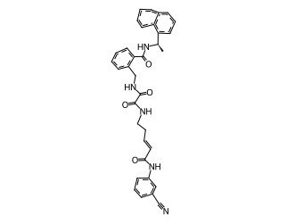 C[C@@H](NC(=O)c1ccccc1CNC(=O)C(=O)NCC/C=C/C(=O)Nc1cccc(C#N)c1)c1cccc2ccccc12